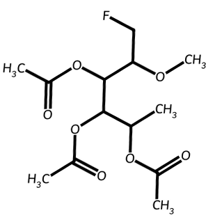 COC(CF)C(OC(C)=O)C(OC(C)=O)C(C)OC(C)=O